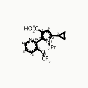 CC(C)n1c(C2CC2)cc(C(=O)O)c1-c1ncccc1OC(F)(F)F